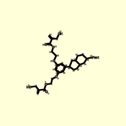 C=C(CO)C(=O)OCCOc1cc(OCCOC(=O)C(=C)CO)cc(C2CCC3CC(CCCCC)CCC3C2)c1